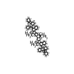 CC1(C)c2cc3c(cc2-c2cc4c(cc21)-c1c(cc(N(c2ccccc2)c2cccc5c2oc2ccccc25)c2ccccc12)C4(C)C)C(C)(C)c1cc(N(c2ccccc2)c2cccc4c2oc2ccccc24)c2ccccc2c1-3